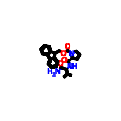 CC(C)[C@H](NC(=O)[C@@H]1CCCN1C(=O)OCC1c2ccccc2-c2ccccc21)C(N)=O